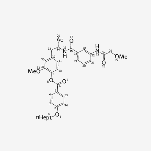 CCCCCCCOc1ccc(C(=O)Oc2ccc(CC(NC(=O)c3cccc(NC(=O)COC)c3)C(C)=O)cc2OC)cc1